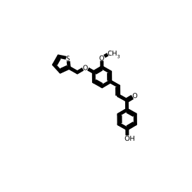 COc1cc(/C=C/C(=O)c2ccc(O)cc2)ccc1OCc1cccs1